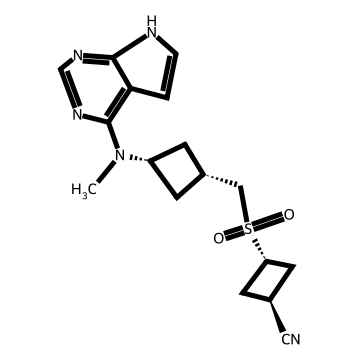 CN(c1ncnc2[nH]ccc12)[C@H]1C[C@@H](CS(=O)(=O)[C@H]2C[C@H](C#N)C2)C1